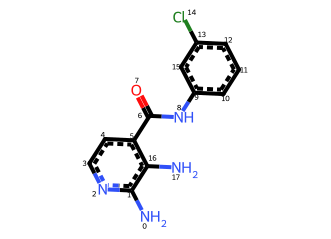 Nc1nccc(C(=O)Nc2cccc(Cl)c2)c1N